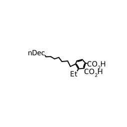 CCCCCCCCCCCCCCCCCc1ccc(C(=O)O)c(C(=O)O)c1CC